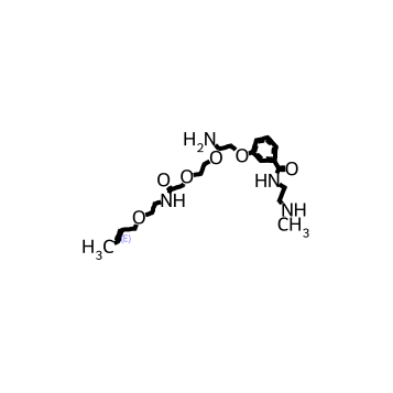 C/C=C/COCCNC(=O)COCCOC(N)COc1cccc(C(=O)NCCNC)c1